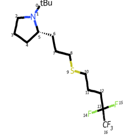 CC(C)(C)N1CCC[C@H]1CCCSCCCC(F)(F)C(F)(F)F